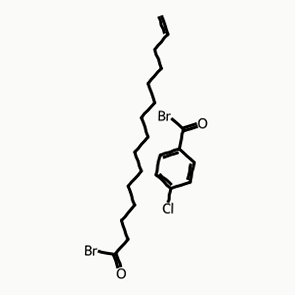 C=CCCCCCCCCCCCCC(=O)Br.O=C(Br)c1ccc(Cl)cc1